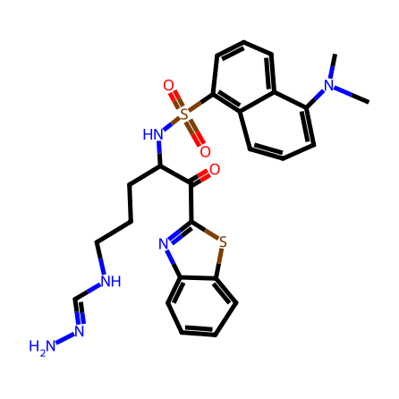 CN(C)c1cccc2c(S(=O)(=O)NC(CCCNC=NN)C(=O)c3nc4ccccc4s3)cccc12